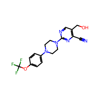 N#Cc1nc(N2CCN(c3ccc(OC(F)(F)F)cc3)CC2)ncc1CO